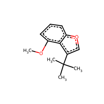 COc1cccc2occ(C(C)(C)C)c12